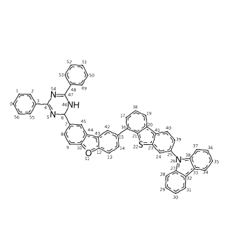 c1ccc(C2=NC(c3ccc4oc5ccc(-c6cccc7c6sc6cc(-n8c9ccccc9c9ccccc98)ccc67)cc5c4c3)NC(c3ccccc3)=N2)cc1